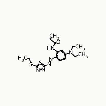 C=CC(=O)Nc1cc(N(CC)CC)ccc1/N=N/c1nnc(SCC)s1